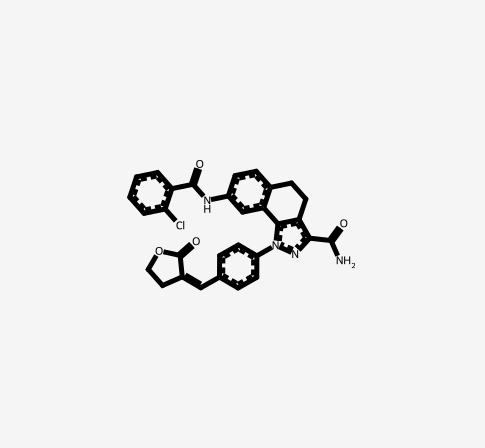 NC(=O)c1nn(-c2ccc(C=C3CCOC3=O)cc2)c2c1CCc1ccc(NC(=O)c3ccccc3Cl)cc1-2